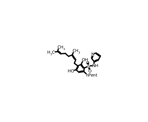 CCCCCc1cc(O)c(CC=C(C)CCC=C(C)C)c(O)c1S(=O)(=O)Nc1cccnc1